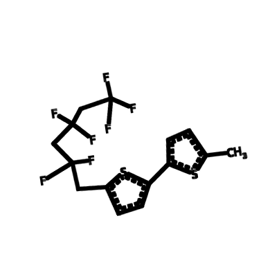 Cc1ccc(-c2ccc(CC(F)(F)CC(F)(F)CC(F)(F)F)s2)s1